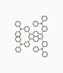 c1ccc(N(c2ccccc2)c2cccc(-c3cc(-c4cccc(N(c5ccccc5)c5ccccc5)c4)c4ccc5c(-c6cccc(N(c7ccccc7)c7ccccc7)c6)cc(-c6cccc(N(c7ccccc7)c7ccccc7)c6)c6ccc3c4c65)c2)cc1